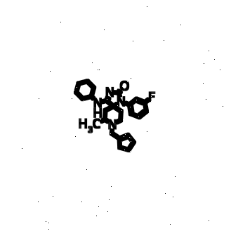 CC1CC2(CCN1CC1=CCCC1)C(NC1CCCCC1)=NC(=O)N2c1cccc(F)c1